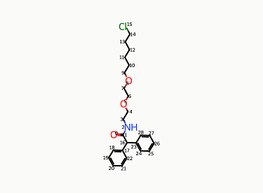 O=C(NCCOCCOCCCCCCCl)C(c1ccccc1)c1ccccc1